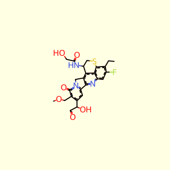 CCc1c(F)cc2nc3c(c4c2c1SCC4NC(=O)CO)Cn1c-3cc(C(O)C=O)c(COC)c1=O